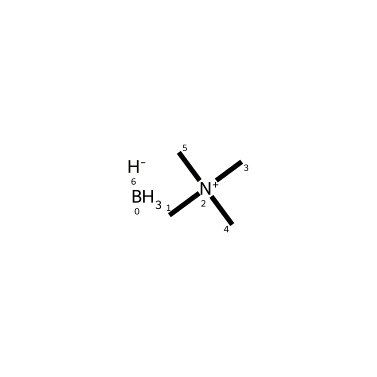 B.C[N+](C)(C)C.[H-]